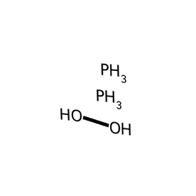 OO.P.P